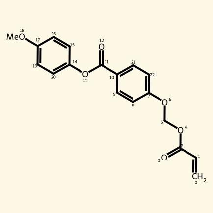 C=CC(=O)OCOc1ccc(C(=O)Oc2ccc(OC)cc2)cc1